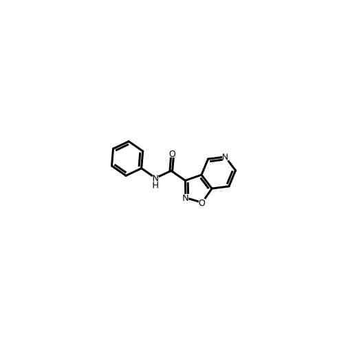 O=C(Nc1ccccc1)c1noc2ccncc12